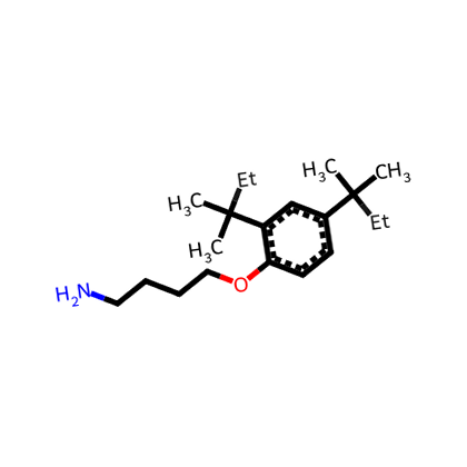 CCC(C)(C)c1ccc(OCCCCN)c(C(C)(C)CC)c1